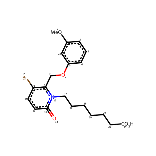 COc1cccc(OCc2c(Br)ccc(=O)n2CCCCCCC(=O)O)c1